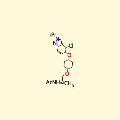 CC(=O)N[C@@H](C)CO[C@H]1CC[C@H](Oc2ccc3nn(C(C)C)cc3c2Cl)CC1